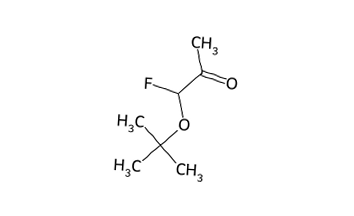 CC(=O)C(F)OC(C)(C)C